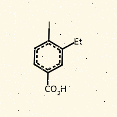 CCc1cc(C(=O)O)ccc1I